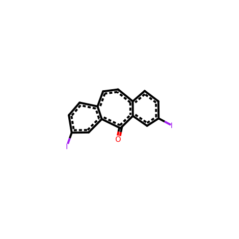 O=c1c2cc(I)ccc2ccc2ccc(I)cc12